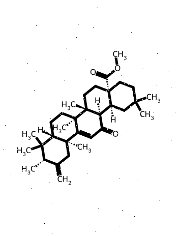 C=C1C[C@]2(C)C3=CC(=O)[C@@H]4[C@@H]5CC(C)(C)CC[C@]5(C(=O)OC)CC[C@@]4(C)[C@]3(C)CC[C@H]2C(C)(C)[C@H]1C